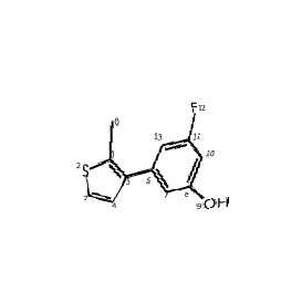 Cc1sccc1-c1cc(O)cc(F)c1